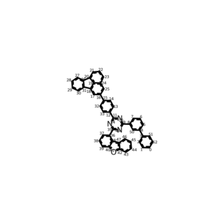 c1ccc(-c2cccc(-c3nc(-c4ccc(-c5cc6c7c(cccc7c5)-c5ccccc5-6)cc4)nc(-c4cccc5oc6ccccc6c45)n3)c2)cc1